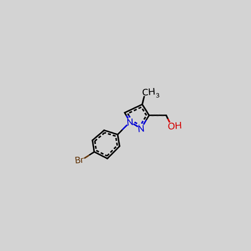 Cc1cn(-c2ccc(Br)cc2)nc1CO